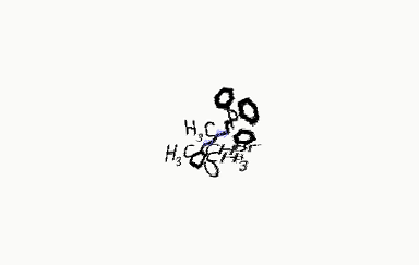 CC1=C(/C=C/C(C)=C/C[P+](c2ccccc2)(c2ccccc2)c2ccccc2)C(C)(C)C(=O)C=C1.[Br-]